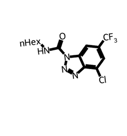 CCCCCCNC(=O)n1nnc2c(Cl)cc(C(F)(F)F)cc21